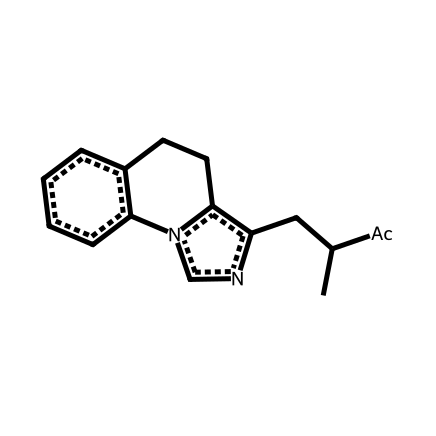 CC(=O)C(C)Cc1ncn2c1CCc1ccccc1-2